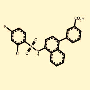 O=C(O)c1cccc(-c2ccc(NS(=O)(=O)c3ccc(F)cc3Cl)c3ccccc23)c1